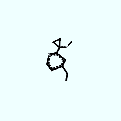 CCc1ccnc(C2(OC)CC2)c1